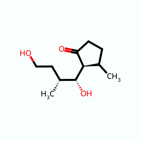 CC1CCC(=O)[C@@H]1[C@H](O)[C@H](C)CCO